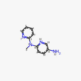 CN(c1ccccn1)c1ccc(N)cn1